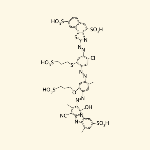 Cc1cc(N=Nc2c(C)c(C#N)c3nc4c(C)cc(S(=O)(=O)O)cc4n3c2O)c(OCCCS(=O)(=O)O)cc1N=Nc1cc(Cl)c(N=Nc2nc3c(S(=O)(=O)O)cc4ccc(S(=O)(=O)O)cc4c3s2)cc1SCCCS(=O)(=O)O